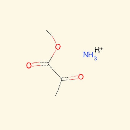 COC(=O)C(C)=O.N.[H+]